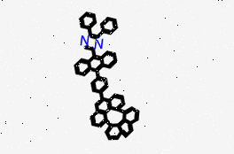 c1ccc(-c2ncc(-c3c4ccccc4c(-c4ccc(-c5cc6cccc7c8cccc9ccc%10cccc(c%11cccc5c%11c67)c%10c98)cc4)c4ccccc34)nc2-c2ccccc2)cc1